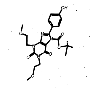 COCCn1c(=O)c2c(nc(-c3ccc(O)cc3)n2C(=O)OC(C)(C)C)n(CCOC)c1=O